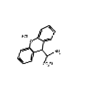 CCOC(=O)C(N)C1c2ccccc2Oc2ccccc21.Cl